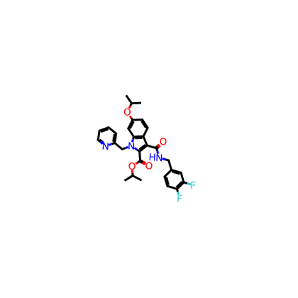 CC(C)OC(=O)c1c(C(=O)NCc2ccc(F)c(F)c2)c2ccc(OC(C)C)cc2n1Cc1ccccn1